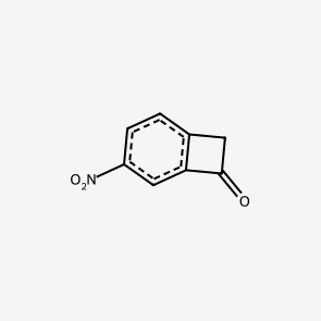 O=C1Cc2ccc([N+](=O)[O-])cc21